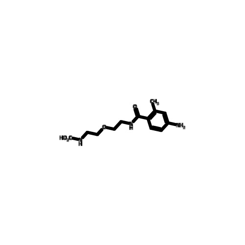 Cc1cc(N)ccc1C(=O)NCCOCCNC(=O)O